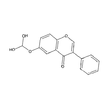 O=c1c(-c2ccccc2)coc2ccc(OC(O)O)cc12